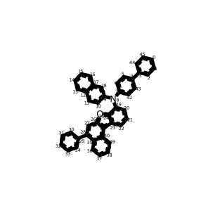 c1ccc(-c2ccc(N(c3ccc4ccccc4c3)c3cccc4c3oc3cc(-c5ccccc5)c5ccccc5c34)cc2)cc1